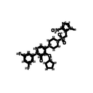 Cn1cnc([N+](=O)[O-])c1CS(=O)(=O)N1CCN(c2cnn(-c3cc(F)cc(F)c3)c(=O)c2OC2CCCC2)CC1